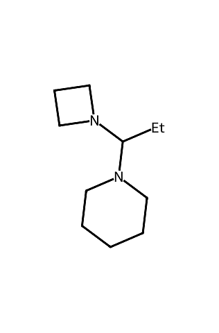 CCC(N1CCCCC1)N1CCC1